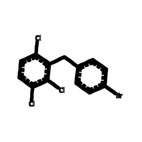 Clc1ccc(Cl)c(Cc2ccc(Br)cc2)c1Cl